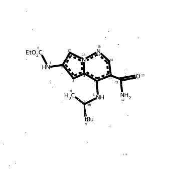 CCOC(=O)Nc1cc2c(N[C@H](C)C(C)(C)C)c(C(N)=O)cnn2c1